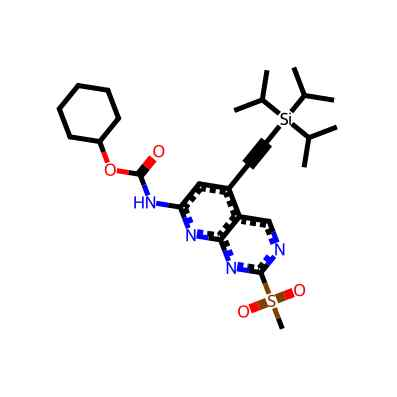 CC(C)[Si](C#Cc1cc(NC(=O)OC2CCCCC2)nc2nc(S(C)(=O)=O)ncc12)(C(C)C)C(C)C